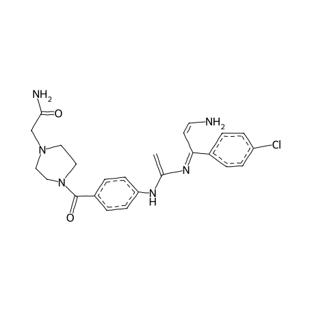 C=C(/N=C(\C=C/N)c1ccc(Cl)cc1)Nc1ccc(C(=O)N2CCN(CC(N)=O)CC2)cc1